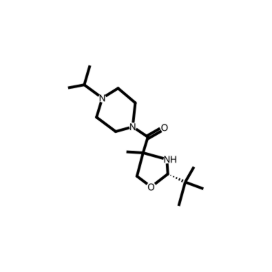 CC(C)N1CCN(C(=O)C2(C)CO[C@@H](C(C)(C)C)N2)CC1